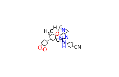 Cc1cc(-c2ccc3c(c2)OCO3)cc(C)c1Oc1nc(Nc2ccc(C#N)cc2)nc2ccn(C)c12